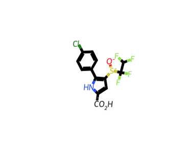 O=C(O)c1cc([S+]([O-])C(F)(F)C(F)F)c(-c2ccc(Cl)cc2)[nH]1